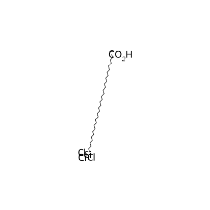 O=C(O)CCCCCCCCCCCCCCCCCCCCCCCCCCCCCCCCC[Si](Cl)(Cl)Cl